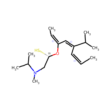 C\C=C/C(=C\C(=C/C)O[C@@H](S)CN(C)C(C)C)C(C)C